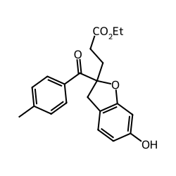 CCOC(=O)CCC1(C(=O)c2ccc(C)cc2)Cc2ccc(O)cc2O1